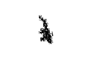 C=CC(=O)Nc1cc(N2CCC(N(C)CCSC)CC2)ccc1Nc1ncc(C#N)c(Nc2ccccc2OC(C)C)n1